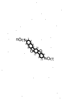 CCCCCCCCc1ccc2cc3c(cc2c1)oc1cc2c(cc13)oc1cc(CCCCCCCC)ccc12